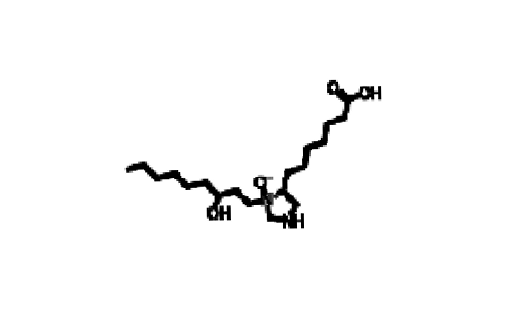 CCCCCCC(O)CC[N+]1([O-])CNCC1CCCCCCC(=O)O